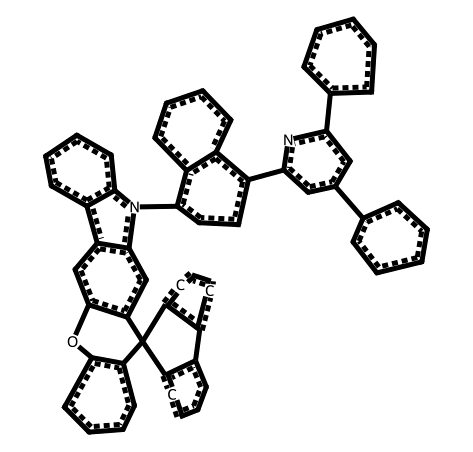 c1ccc(-c2cc(-c3ccccc3)nc(-c3ccc(-n4c5ccccc5c5cc6c(cc54)C4(c5ccccc5O6)c5ccccc5-c5ccccc54)c4ccccc34)c2)cc1